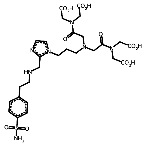 NS(=O)(=O)c1ccc(CCNCc2nccn2CCCN(CC(=O)N(CC(=O)O)CC(=O)O)CC(=O)N(CC(=O)O)CC(=O)O)cc1